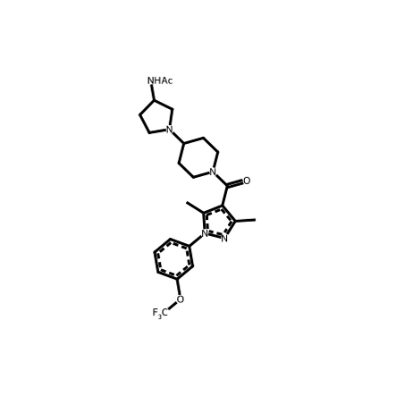 CC(=O)NC1CCN(C2CCN(C(=O)c3c(C)nn(-c4cccc(OC(F)(F)F)c4)c3C)CC2)C1